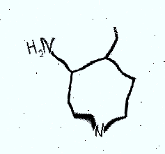 CC1CC[N]CC1N